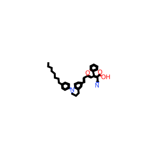 CCCCCCCCc1ccc(N2CCCc3cc(/C=C/C4=CC(=C(\C#N)C(=O)O)/c5ccccc5O4)ccc32)cc1